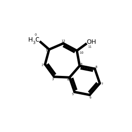 CC1C=Cc2ccccc2C(O)=C1